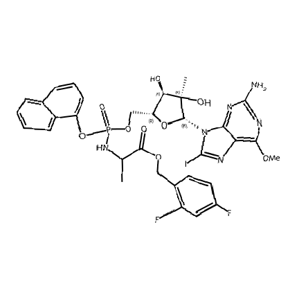 COc1nc(N)nc2c1nc(I)n2[C@@H]1O[C@H](COP(=O)(NC(C)C(=O)OCc2ccc(F)cc2F)Oc2cccc3ccccc23)[C@@H](O)[C@@]1(C)O